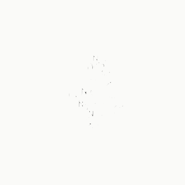 NS(=O)(=O)c1cccc(-c2nc(C(F)(F)F)nc(N3CCSC3)c2-c2ccccc2)c1